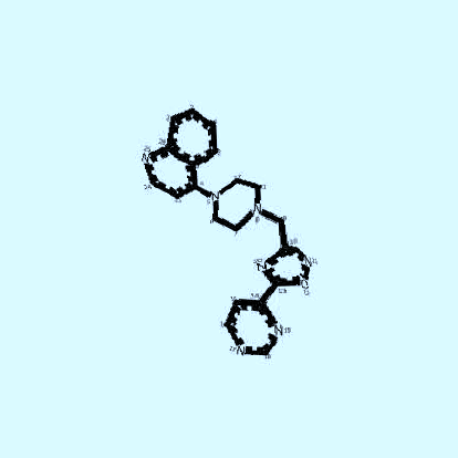 c1ccc2c(N3CCN(Cc4noc(-c5ccncn5)n4)CC3)ccnc2c1